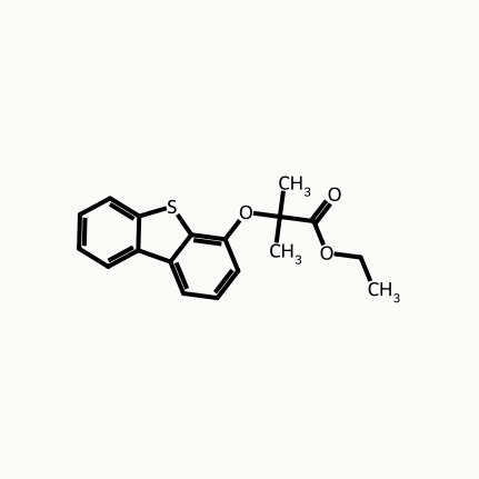 CCOC(=O)C(C)(C)Oc1cccc2c1sc1ccccc12